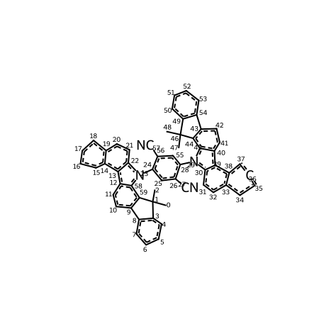 CC1(C)c2ccccc2-c2ccc3c4c5ccccc5ccc4n(-c4cc(C#N)c(-n5c6ccc7ccccc7c6c6ccc7c(c65)C(C)(C)c5ccccc5-7)cc4C#N)c3c21